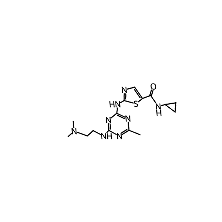 Cc1nc(NCCN(C)C)nc(Nc2ncc(C(=O)NC3CC3)s2)n1